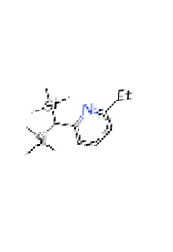 CCc1cccc(C([Si](C)(C)C)[Si](C)(C)C)n1